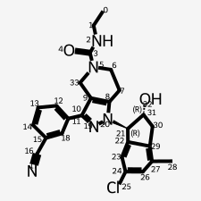 CCNC(=O)N1CCc2c(c(-c3cccc(C#N)c3)nn2[C@@H]2c3cc(Cl)cc(C)c3C[C@H]2O)C1